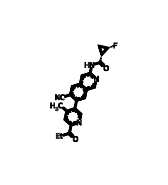 CCC(=O)c1cc(C)c(-c2cc3cnc(NC(=O)[C@@H]4C[C@@H]4F)cc3cc2C#N)cn1